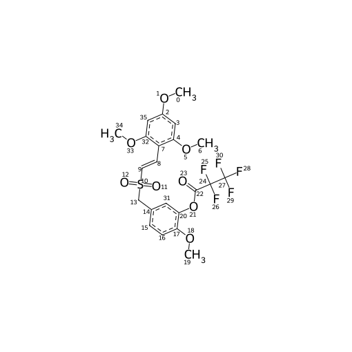 COc1cc(OC)c(C=CS(=O)(=O)Cc2ccc(OC)c(OC(=O)C(F)(F)C(F)(F)F)c2)c(OC)c1